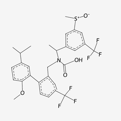 COc1ccc(C(C)C)cc1-c1ccc(C(F)(F)F)cc1CN(C(=O)O)C(C)c1cc([S+](C)[O-])cc(C(F)(F)F)c1